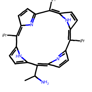 CC(C)c1c2nc(c(C(C)C)c3ccc([nH]3)c(C(C)N)c3nc(c(C(C)C)c4ccc1[nH]4)C=C3)C=C2